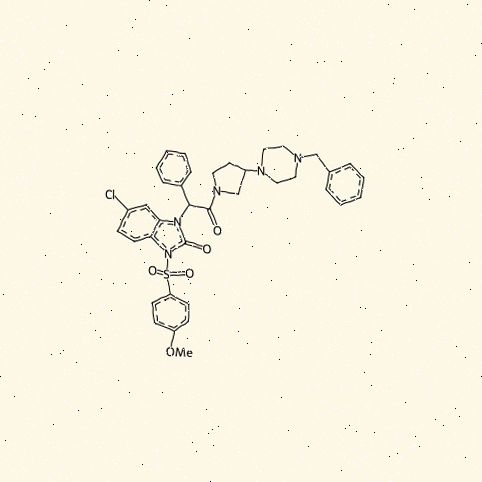 COc1ccc(S(=O)(=O)n2c(=O)n(C(C(=O)N3CCC(N4CCN(Cc5ccccc5)CC4)C3)c3ccccc3)c3cc(Cl)ccc32)cc1